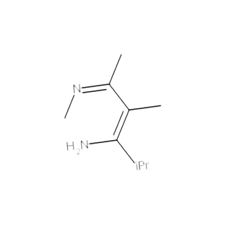 C/N=C(C)\C(C)=C(/N)C(C)C